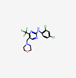 FC(F)(F)c1nc(Nc2ccc(Cl)cc2Cl)ncc1CN1CCOCC1